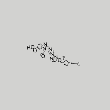 O=C(O)c1ccc2nc(CN3CCN(c4nccc(OCc5ccc(C#CC6CC6)cc5F)n4)CC3)n(CC3CCO3)c2c1